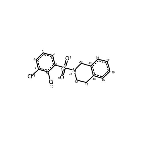 O=S(=O)(c1cccc(Cl)c1Cl)N1CCc2ccccc2C1